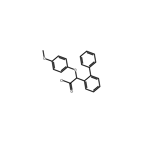 COc1ccc(OC(C(=O)Cl)c2ccccc2-c2ccccc2)cc1